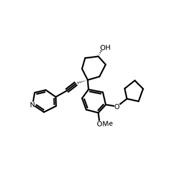 COc1ccc([C@]2(C#Cc3ccncc3)CC[C@@H](O)CC2)cc1OC1CCCC1